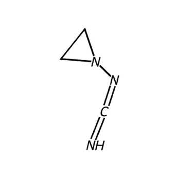 N=C=NN1CC1